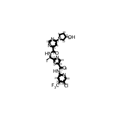 C[C@@H](NC(=O)c1cc(N2CC[C@@H](O)C2)ncn1)c1ncc(C(=O)Nc2cc(C(F)(F)F)c(Cl)cn2)s1